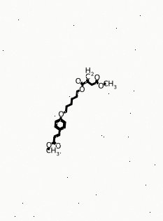 C=C(CC(=O)OC)C(=O)OCCCCCCOc1ccc(/C=C/C(=O)OC)cc1